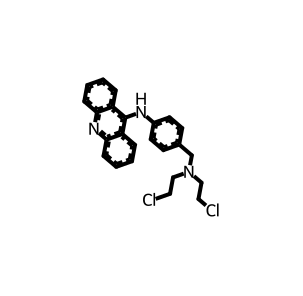 ClCCN(CCCl)Cc1ccc(Nc2c3ccccc3nc3ccccc23)cc1